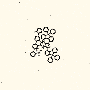 Cc1ccccc1-c1ccc2c3ccc(-c4ccccc4C(F)(F)F)cc3c3nc4c(-c5cccc6c5-c5ccccc5C6(c5ccccc5)c5ccccc5)sc(-c5cccc6c5-c5ccccc5C6(c5ccccc5)c5ccccc5)c4nc3c2c1